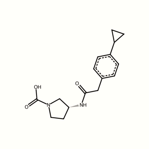 O=C(Cc1ccc(C2CC2)cc1)N[C@@H]1CCN(C(=O)O)C1